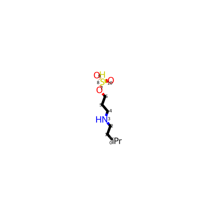 CC(C)CCNCCCO[SH](=O)=O